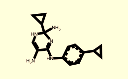 NC1=CNC(N)(C2CC2)N=C1Nc1ccc(C2CC2)cc1